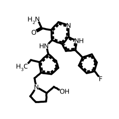 CCc1c(CN2CCCC2CO)cccc1Nc1c(C(N)=O)cnc2[nH]c(-c3ccc(F)cc3)cc12